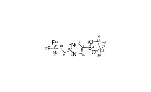 CC1(C)OB(c2cnc(CCC(F)(F)F)nc2)OC1(C)C